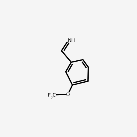 N=Cc1cccc(OC(F)(F)F)c1